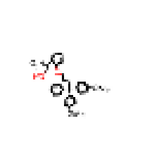 COc1ccc(C(CCCOc2ccccc2C(CO)[N+](=O)[O-])(c2ccccc2)c2ccc(OC)cc2)cc1